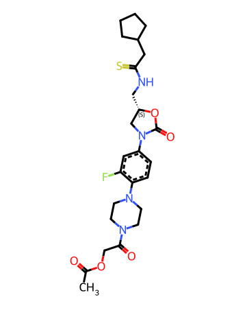 CC(=O)OCC(=O)N1CCN(c2ccc(N3C[C@H](CNC(=S)CC4CCCC4)OC3=O)cc2F)CC1